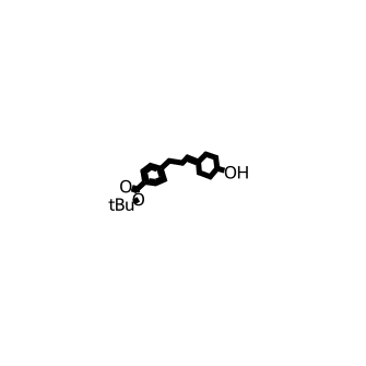 CC(C)(C)OC(=O)c1ccc(CCC=C2CCC(O)CC2)cc1